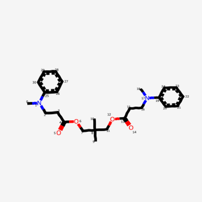 CN(CCC(=O)OCC(C)(C)COC(=O)CCN(C)c1ccccc1)c1ccccc1